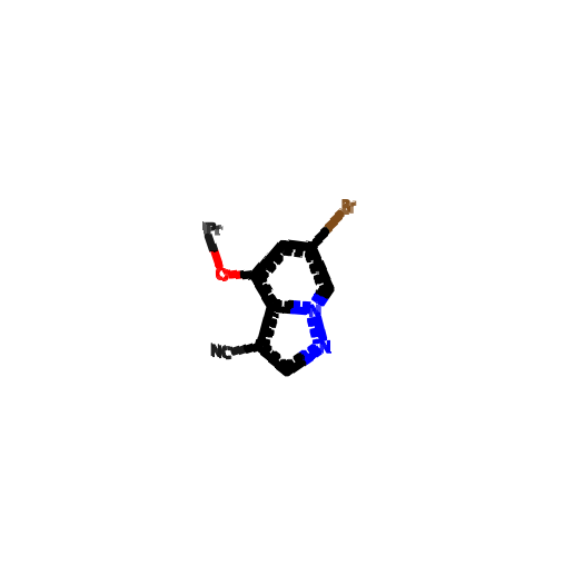 CC(C)Oc1cc(Br)cn2ncc(C#N)c12